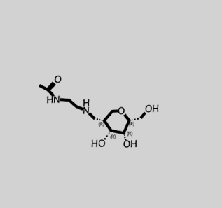 CC(=O)NCCNC[C@@H]1CO[C@H](CO)[C@H](O)[C@@H]1O